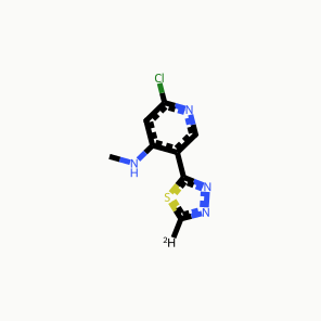 [2H]c1nnc(-c2cnc(Cl)cc2NC)s1